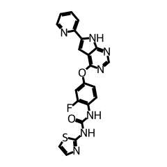 O=C(Nc1nccs1)Nc1ccc(Oc2ncnc3[nH]c(-c4ccccn4)cc23)cc1F